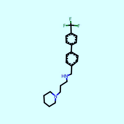 FC(F)(F)c1ccc(-c2ccc(CNCCCN3CCCCC3)cc2)cc1